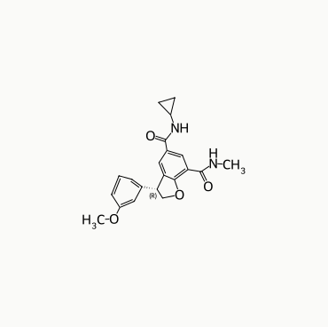 CNC(=O)c1cc(C(=O)NC2CC2)cc2c1OC[C@@H]2c1cccc(OC)c1